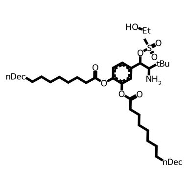 CCCCCCCCCCCCCCCCCC(=O)Oc1ccc(C(OS(C)(=O)=O)C(N)C(C)(C)C)cc1OC(=O)CCCCCCCCCCCCCCCCC.CCO